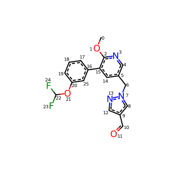 COc1ncc(Cn2cc(C=O)cn2)cc1-c1cccc(OC(F)F)c1